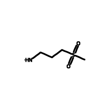 CS(=O)(=O)CCC[NH]